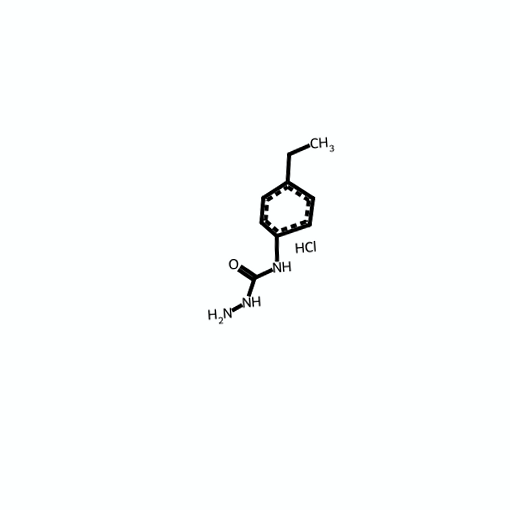 CCc1ccc(NC(=O)NN)cc1.Cl